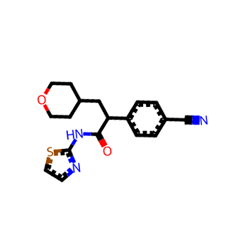 N#Cc1ccc(C(CC2CCOCC2)C(=O)Nc2nccs2)cc1